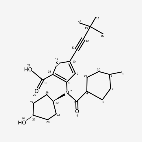 CC1CCC(C(=O)N(c2cc(C#CC(C)(C)C)sc2C(=O)O)[C@H]2CC[C@H](O)CC2)CC1